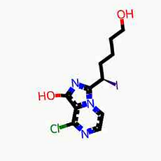 OCCCC[C@@H](I)c1nc(O)c2c(Cl)nccn12